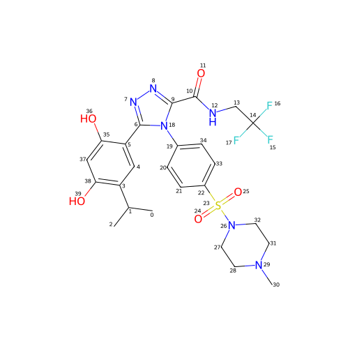 CC(C)c1cc(-c2nnc(C(=O)NCC(F)(F)F)n2-c2ccc(S(=O)(=O)N3CCN(C)CC3)cc2)c(O)cc1O